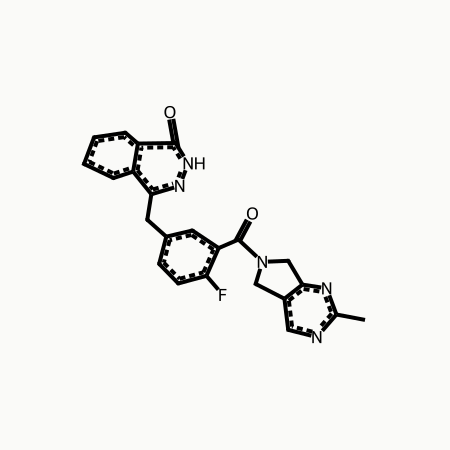 Cc1ncc2c(n1)CN(C(=O)c1cc(Cc3n[nH]c(=O)c4ccccc34)ccc1F)C2